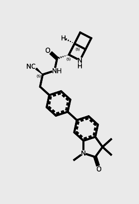 CN1C(=O)C(C)(C)c2ccc(-c3ccc(C[C@@H](C#N)NC(=O)[C@H]4NC5CC[C@@H]54)cc3)cc21